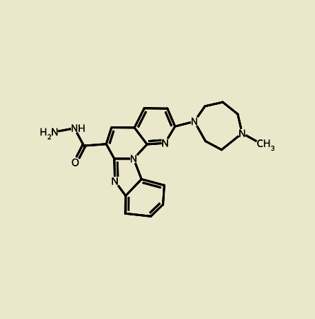 CN1CCCN(c2ccc3cc(C(=O)NN)c4nc5ccccc5n4c3n2)CC1